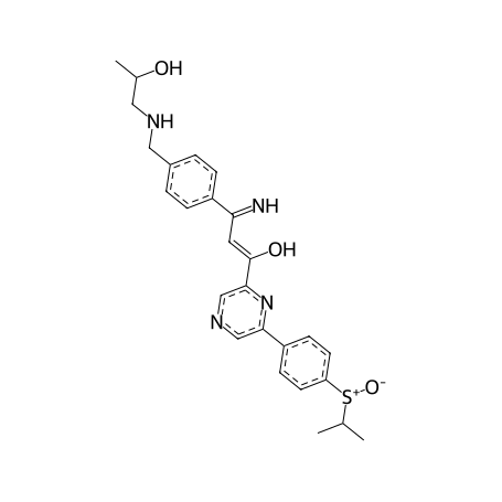 CC(O)CNCc1ccc(C(=N)/C=C(\O)c2cncc(-c3ccc([S+]([O-])C(C)C)cc3)n2)cc1